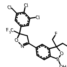 OB1OC(CF)(CF)c2cc(C3=NOC(c4cc(Cl)c(Cl)c(Cl)c4)(C(F)(F)F)C3)ccc21